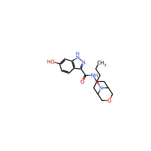 CCCCN1C2COCC1CC(NC(=O)c1n[nH]c3cc(O)ccc13)C2